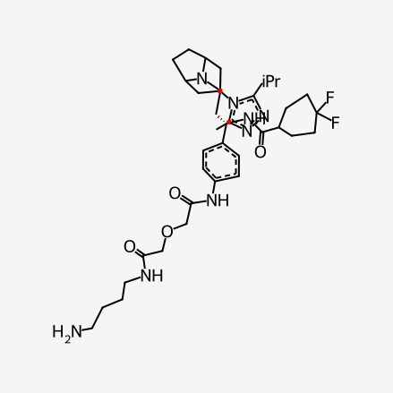 Cc1nnc(C(C)C)n1C1CC2CCC(C1)N2CC[C@H](NC(=O)C1CCC(F)(F)CC1)c1ccc(NC(=O)COCC(=O)NCCCCN)cc1